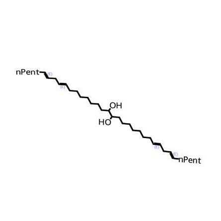 CCCCC/C=C/C/C=C/CCCCCCCC(O)C(O)CCCCCCC/C=C/C/C=C/CCCCC